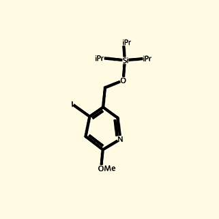 COc1cc(I)c(CO[Si](C(C)C)(C(C)C)C(C)C)cn1